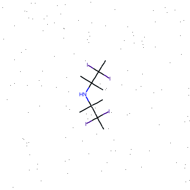 CC(I)(I)C(C)(C)NC(C)(C)C(C)(I)I